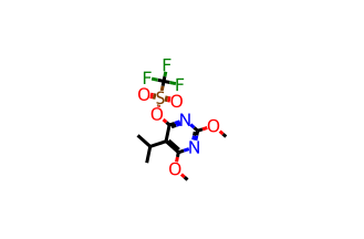 COc1nc(OC)c(C(C)C)c(OS(=O)(=O)C(F)(F)F)n1